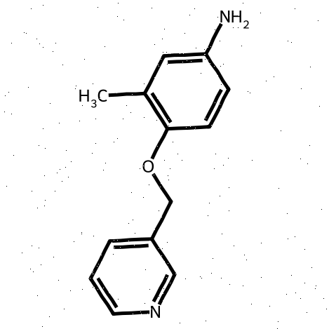 Cc1cc(N)ccc1OCc1cccnc1